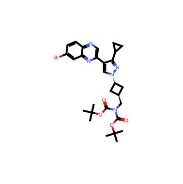 CC(C)(C)OC(=O)N(C[C@H]1C[C@H](n2cc(-c3cnc4ccc(Br)cc4n3)c(C3CC3)n2)C1)C(=O)OC(C)(C)C